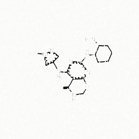 Cn1cc(Nc2nc(N[C@@H]3CCCC[C@@H]3N)nc3c2C(=O)NCO3)cn1